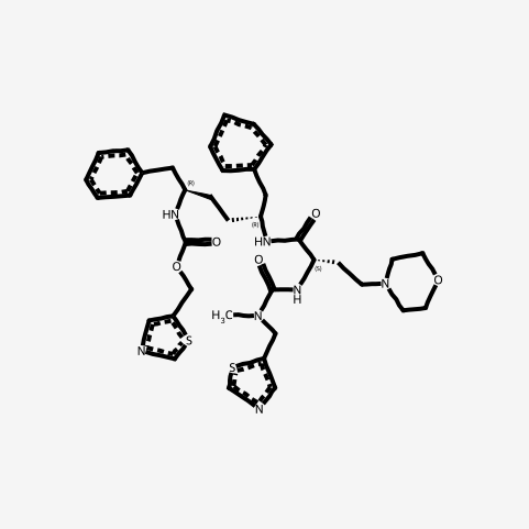 CN(Cc1cncs1)C(=O)N[C@@H](CCN1CCOCC1)C(=O)N[C@H](CC[C@H](Cc1ccccc1)NC(=O)OCc1cncs1)Cc1ccccc1